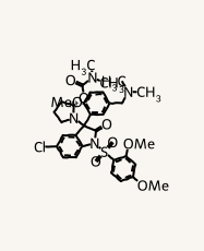 COc1ccc(S(=O)(=O)N2C(=O)C(c3cc(CN(C)C)ccc3OC)(N3CCC[C@@H]3OC(=O)N(C)C)c3cc(Cl)ccc32)c(OC)c1